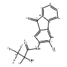 CC(O)(C(=O)Nc1cc2c(cc1Cl)-c1ccccc1C2=O)C(F)(F)F